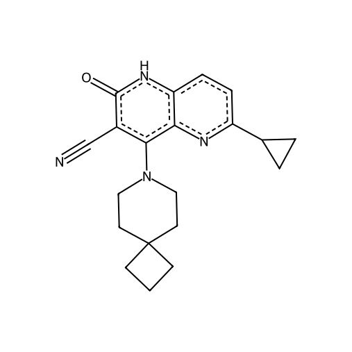 N#Cc1c(N2CCC3(CCC3)CC2)c2nc(C3CC3)ccc2[nH]c1=O